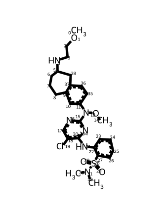 COCCNC1CCCc2cc(N(OC)c3ncc(Cl)c(Nc4ccccc4S(=O)(=O)N(C)C)n3)ccc2C1